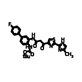 Cc1c[nH]c(-c2nc(C(=O)CC(=O)Nc3cc(-c4ccc(F)cc4)ccc3NC(=O)OC(C)(C)C)cs2)n1